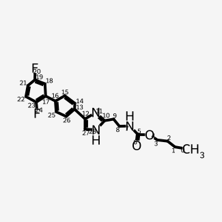 CCCCOC(=O)NCCc1nc(-c2ccc(-c3cc(F)ccc3F)cc2)c[nH]1